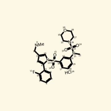 CNCc1cc(-c2ccccc2F)n(S(=O)(=O)c2cccc(N(C)S(=O)(=O)N3CCOCC3)c2)c1.Cl